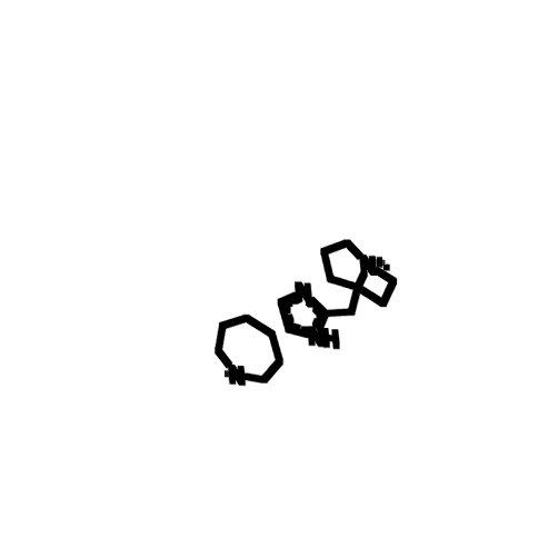 C1CCC[N]CC1.c1c[nH]c(CC23CCC[N+]2CC3)n1